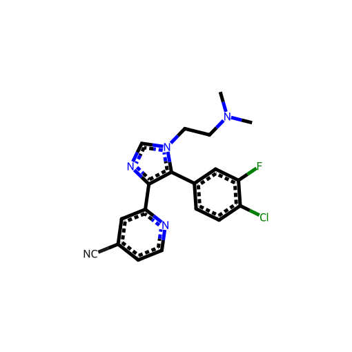 CN(C)CCn1cnc(-c2cc(C#N)ccn2)c1-c1ccc(Cl)c(F)c1